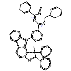 C=N/C(=N\C(=N/CC1C=CC=CC1)c1cccc(-n2c3ccccc3c3ccc4c(c32)C(C)(c2ccccc2)C(c2ccccc2)=N4)c1)C1=CCCC=C1